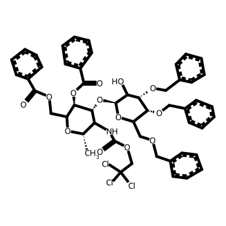 C[C@@H]1OC(COC(=O)c2ccccc2)[C@@H](OC(=O)c2ccccc2)[C@H](O[C@@H]2OC(COCc3ccccc3)[C@@H](OCc3ccccc3)[C@@H](OCc3ccccc3)C2O)C1NC(=O)OCC(Cl)(Cl)Cl